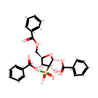 O=C(OC[C@H]1O[C@H](OC(=O)c2ccccc2)[C@@](O)(S(=O)(=O)F)[C@@H]1OC(=O)c1ccccc1)c1ccccc1